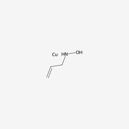 C=CCNO.[Cu]